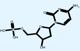 Nc1ccn(C2CC(O)C(COP(=O)(O)O)O2)c(=O)n1